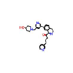 O=C(CCCc1cccnc1)C1=NCCc2ccc(-c3cncc(CN4CCC(O)CC4)c3)cc21